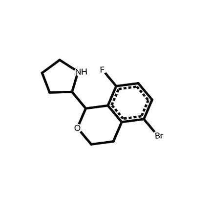 Fc1ccc(Br)c2c1C(C1CCCN1)OCC2